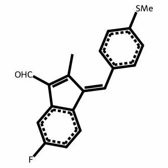 CSc1ccc(/C=C2\C(C)=C(C=O)c3cc(F)ccc32)cc1